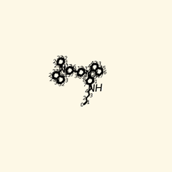 C=CCCCNc1ccc(N(c2ccc(-c3ccc(N(c4ccccc4)c4cccc5ccccc45)cc3)cc2)c2cccc3ccccc23)cc1